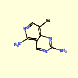 CCc1cnc(N)c2cnc(N)nc12